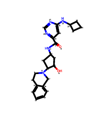 O=C(NC1CC(O)C(N2CCc3ccccc3C2)C1)c1cc(NC2CCC2)ncn1